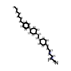 CCCCCCCc1ccc([C@H]2CC[C@H](CC[C@H]3CC[C@H](CC/C=C/C=C(\F)C#N)CC3)CC2)cc1